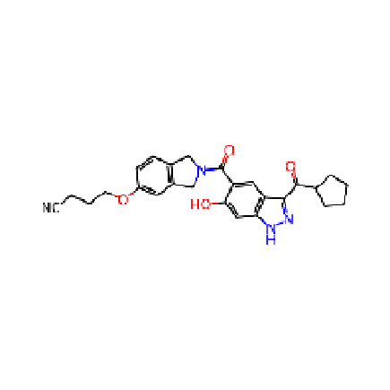 N#CCCCOc1ccc2c(c1)CN(C(=O)c1cc3c(C(=O)C4CCCC4)n[nH]c3cc1O)C2